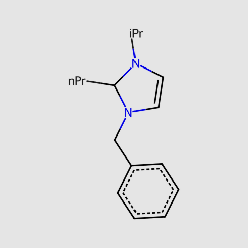 CCCC1N(Cc2ccccc2)C=CN1C(C)C